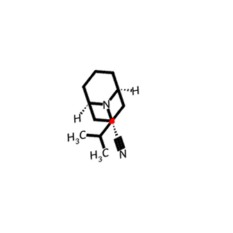 CC(C)CN1[C@@H]2CCC[C@H]1C[C@H](C#N)C2